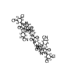 C[C@@]1(Cc2ccc(C#N)cc2)C(=O)N(c2cc(Cl)cc(Cl)c2)c2ncc(S(=O)(=O)N3CCN(C(=O)C(=O)N4CCN(S(=O)(=O)c5cnc6n5[C@](C)(Cc5ccc(C#N)cc5)C(=O)N6c5cc(Cl)cc(Cl)c5)CC4)CC3)n21